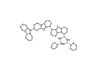 c1ccc(C2NC(c3ccccc3)NC(c3cccc4sc5c(-c6cccc7c6sc6cc(-n8c9ccccc9c9ccccc98)ccc67)cccc5c34)N2)cc1